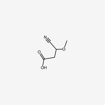 COC(C#N)CC(=O)O